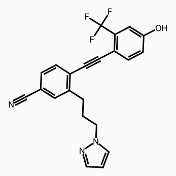 N#Cc1ccc(C#Cc2ccc(O)cc2C(F)(F)F)c(CCCn2cccn2)c1